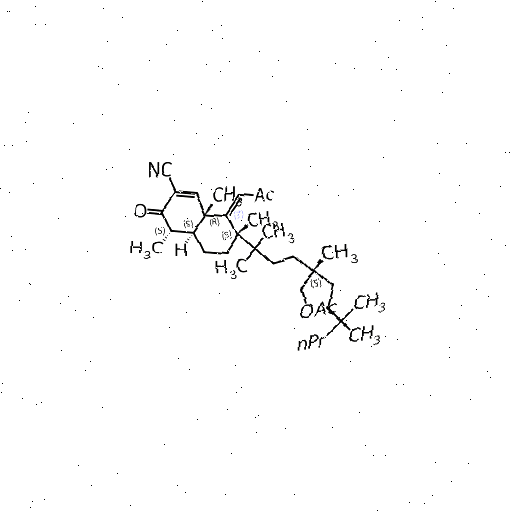 CCCC(C)(C)CC[C@@](C)(CCC(C)(C)[C@]1(C)CC[C@H]2[C@H](C)C(=O)C(C#N)=C[C@]2(C)/C1=C/C(C)=O)COC(C)=O